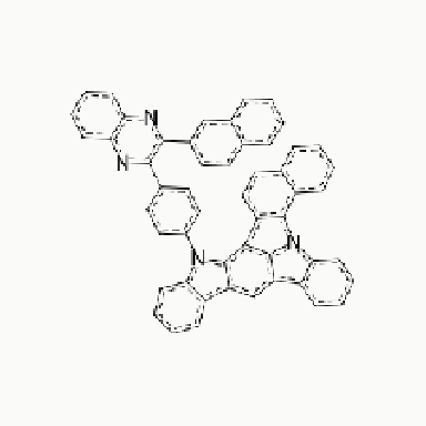 c1ccc2cc(-c3nc4ccccc4nc3-c3ccc(-n4c5ccccc5c5cc6c7ccccc7n7c8c9ccccc9ccc8c(c54)c67)cc3)ccc2c1